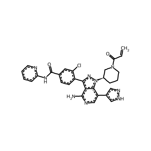 C=CC(=O)N1CCC[C@@H](n2nc(-c3ccc(C(=O)Nc4ccccn4)cc3Cl)c3c(N)ncc(-c4cn[nH]c4)c32)C1